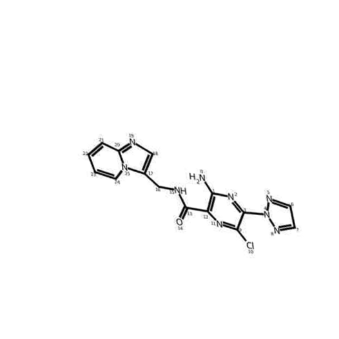 Nc1nc(-n2nccn2)c(Cl)nc1C(=O)NCc1cnc2ccccn12